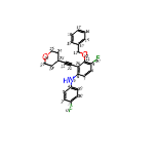 Fc1ccc(Nc2ccc(F)c(OCc3ccccc3)c2C#CC2CCOCC2)cc1